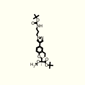 CC(C)(C)OC(=O)NCCCn1cc(-c2ccc3c(c2)CC[C@H]([C@](C)(ON)C(=O)OC(C)(C)C)O3)cn1